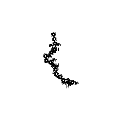 CC(C)c1cc(-c2ccc(-c3ccccc3)cc2)cc(C(C)C)c1CC(=O)NS(=O)(=O)c1ccc(CN(C)Cc2ccccc2-c2cccc(-c3cc(C(C)C)c(CC(=O)NS(=O)(=O)c4ccc(CN(C)Cc5cc6cc(-c7cc(C(C)C)c(CC(=O)NS(=O)(=O)c8ccc(CN(C)C)cc8)c(C(C)C)c7)ccc6s5)cc4)c(C(C)C)c3)c2)cc1